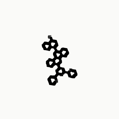 Clc1ccc(-c2cc3c4ccccc4c(-c4cc(-c5ccccn5)nc(-c5ccccn5)c4)cc3c3ccccc23)c2ccccc12